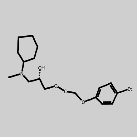 CCc1ccc(OCCOC[C@@H](O)CN(C)C2CCCCC2)cc1